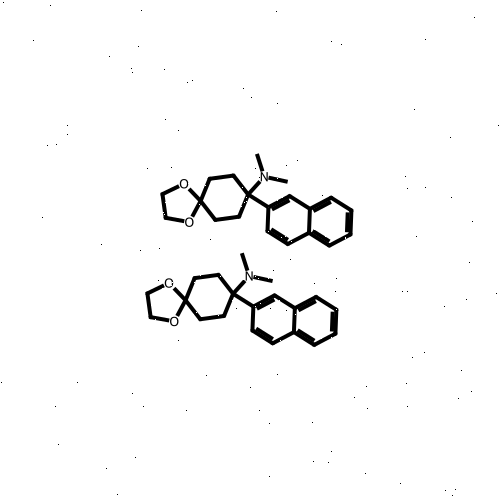 CN(C)C1(c2ccc3ccccc3c2)CCC2(CC1)OCCO2.CN(C)C1(c2ccc3ccccc3c2)CCC2(CC1)OCCO2